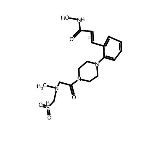 CN(CC(=O)N1CCN(c2ccccc2/C=C/C(=O)NO)CC1)C[SH](=O)=O